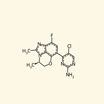 Cc1nc2c(F)cc(-c3nc(N)ncc3Cl)c3c2n1[C@H](C)CO3